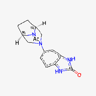 CC(=O)N1[C@@H]2CC[C@H]1CN(c1ccc3[nH]c(=O)[nH]c3c1)C2